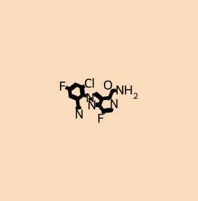 N#Cc1cc(F)cc(Cl)c1-n1cc2c(C(N)=O)ncc(F)c2n1